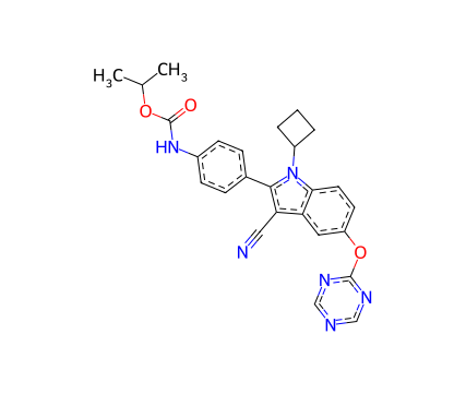 CC(C)OC(=O)Nc1ccc(-c2c(C#N)c3cc(Oc4ncncn4)ccc3n2C2CCC2)cc1